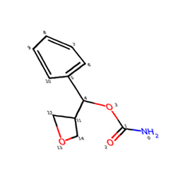 NC(=O)OC(c1ccccc1)C1COC1